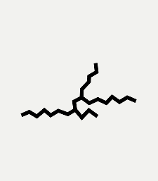 CCCCCCCC(CCC)CC(CCCCC)CCCCCCC